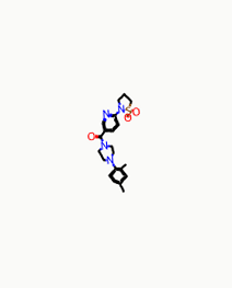 Cc1ccc(N2CCN(C(=O)c3ccc(N4CCCS4(=O)=O)nc3)CC2)c(C)c1